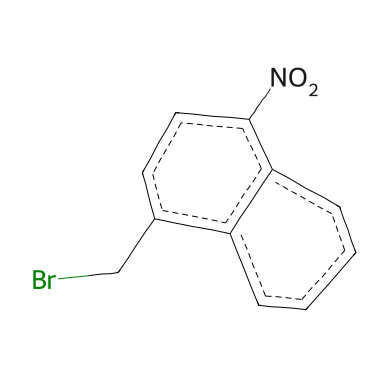 O=[N+]([O-])c1ccc(CBr)c2ccccc12